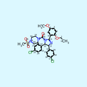 CCOc1ccc(OC)cc1C1=NC(c2ccc(Cl)cc2)C(c2ccc(Cl)cc2)N1C(=O)N1CCN(S(C)(=O)=O)CC1